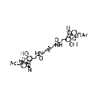 CC(=O)O[C@H]1CCC2[C@@H]3CCC[C@@]24c2c(c(CCC(=O)NCCSSCCNC(=O)CCc5cc(O)c6c7c5C[C@@H]5CCC[C@@]78C5CC[C@@H](OC(C)=O)[C@H]8O6)cc(O)c2O[C@@H]14)C3